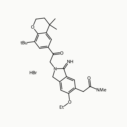 Br.CCOc1cc2c(cc1CC(=O)NC)C(=N)N(CC(=O)c1cc(C(C)(C)C)c3c(c1)C(C)(C)CCO3)C2